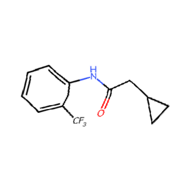 O=C(CC1CC1)Nc1ccccc1C(F)(F)F